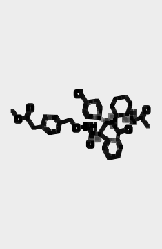 COC(=O)Cc1ccc(CONC(=O)[C@@H]2c3ccccc3C(=O)N([C@H]3CCCC[C@@H]3NC(C)=O)[C@H]2c2ccc(Cl)cc2)cc1